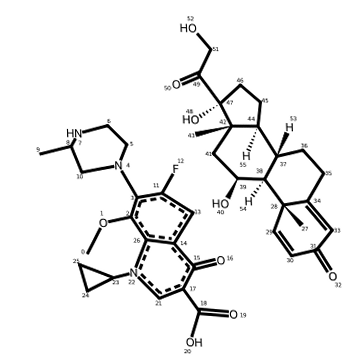 COc1c(N2CCNC(C)C2)c(F)cc2c(=O)c(C(=O)O)cn(C3CC3)c12.C[C@]12C=CC(=O)C=C1CC[C@@H]1[C@@H]2[C@@H](O)C[C@@]2(C)[C@H]1CC[C@]2(O)C(=O)CO